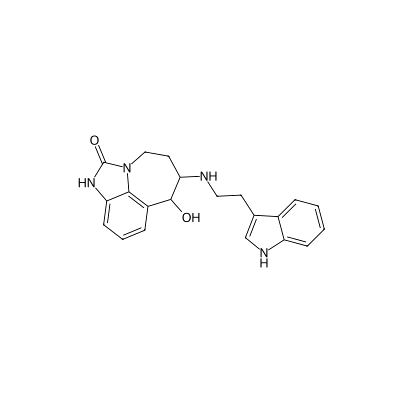 O=c1[nH]c2cccc3c2n1CCC(NCCc1c[nH]c2ccccc12)C3O